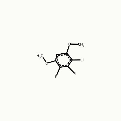 COc1cc(OC)c(Cl)c(I)c1F